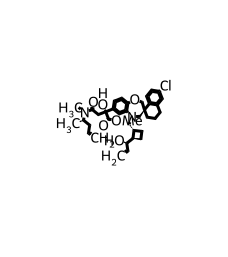 C=CC[C@H](C)N(C)C(=O)C[C@@](O)(C(=O)OC)c1ccc2c(c1)N(C[C@@H]1CC[C@H]1[C@@H](O)C=C)C[C@@]1(CCCc3cc(Cl)ccc31)CO2